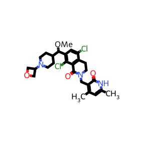 COC(c1cc(Cl)c2c(c1Cl)C(=O)N(Cc1c(C)cc(C)[nH]c1=O)CC2)C1CCN(C2COC2)CC1